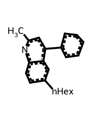 CCCCCCc1ccc2nc(C)cc(-c3ccccc3)c2c1